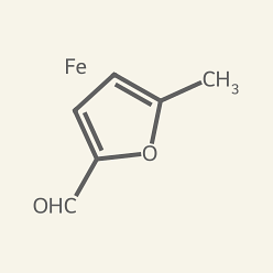 Cc1ccc(C=O)o1.[Fe]